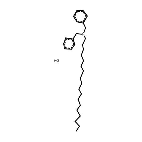 CCCCCCCCCCCCCCCCCCN(Cc1ccccc1)Cc1ccccc1.Cl